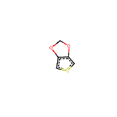 [c]1scc2c1OCO2